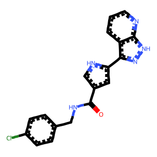 O=C(NCc1ccc(Cl)cc1)c1c[nH]c(-c2n[nH]c3ncccc23)c1